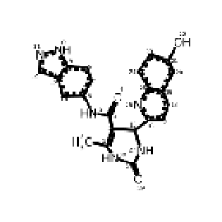 CC1=C(C(=O)Nc2ccc3[nH]ncc3c2)C(c2ccc3cc(O)ccc3n2)NC(=O)N1